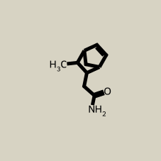 CC1C2C=CC(C2)C1CC(N)=O